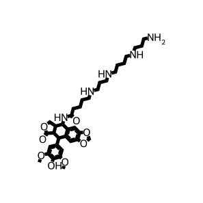 COc1cc(C2c3cc4c(cc3C(NC(=O)CCCCNCCCNCCCCNCCCN)C3COC(=O)C23)OCO4)cc(OC)c1O